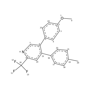 COc1ccc(-c2cnc(C(F)(F)F)cc2-c2ccc(C)cc2)cc1